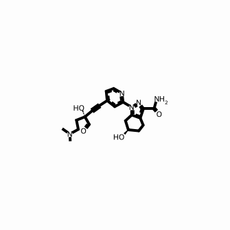 CN(C)CC[C@@](O)(C#Cc1ccnc(-n2nc(C(N)=O)c3c2C[C@H](O)CC3)c1)C=O